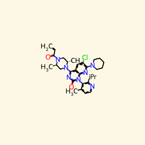 C=CC(=O)N1C[C@H](C)N(c2nc(=O)n(-c3c(C)ccnc3C(C)C)c3nc(N4CCCCC4)c(Cl)cc23)C[C@H]1C